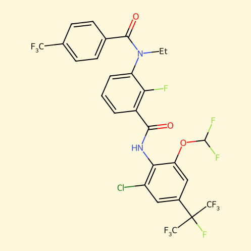 CCN(C(=O)c1ccc(C(F)(F)F)cc1)c1cccc(C(=O)Nc2c(Cl)cc(C(F)(C(F)(F)F)C(F)(F)F)cc2OC(F)F)c1F